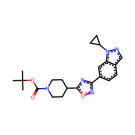 CC(C)(C)OC(=O)N1CCC(c2nc(-c3ccc4cnn(C5CC5)c4c3)no2)CC1